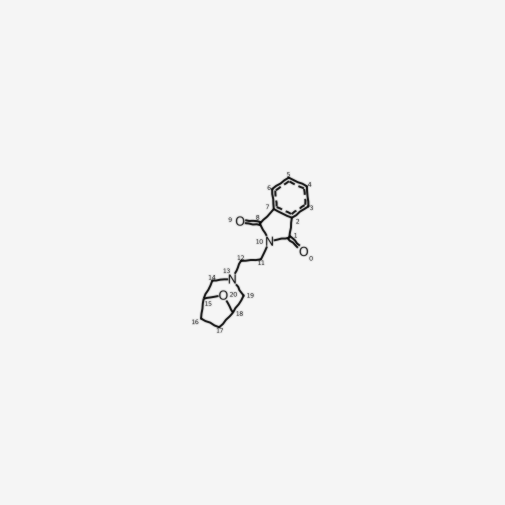 O=C1c2ccccc2C(=O)N1CCN1CC2CCC(C1)O2